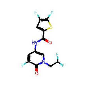 O=C(Nc1cc(F)c(=O)n(CC(F)F)c1)c1cc(F)c(F)s1